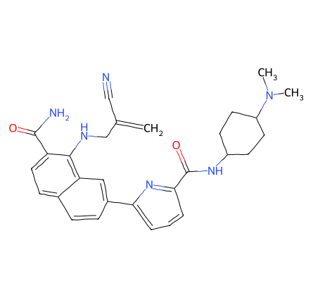 C=C(C#N)CNc1c(C(N)=O)ccc2ccc(-c3cccc(C(=O)NC4CCC(N(C)C)CC4)n3)cc12